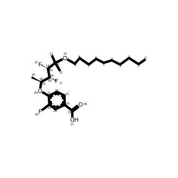 CCCCCCCCCCOC(C)(C)[C@@H](F)[C@H](F)[C@H](C)Oc1ccc(C(=O)O)cc1F